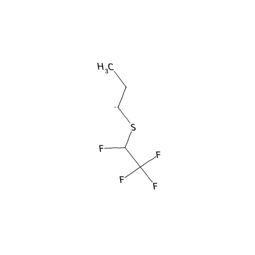 CC[CH]SC(F)C(F)(F)F